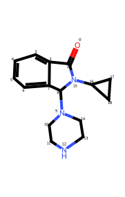 O=C1c2ccccc2C(N2CCNCC2)N1C1CC1